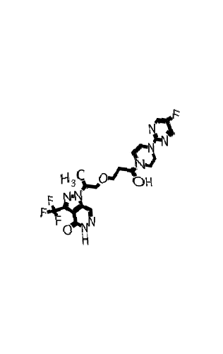 CC(COCCC(O)N1CCN(c2ncc(F)cn2)CC1)n1nc(C(F)(F)F)c2c(=O)[nH]ncc21